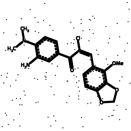 COc1c(/C=C(/Cl)C(=O)c2ccc(N(C)C)c(N)c2)ccc2c1OCO2